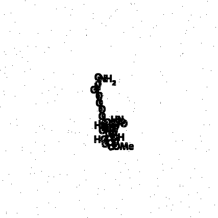 COc1cccc2c1C(=O)c1c(O)c3c(c(O)c1C2=O)CC(C(=O)NNC(=O)CCOCCOCCOCCOCCC(=O)N1CCC(C(N)=O)CC1)C[C@@H]3O[C@H]1CC[C@H](O[C@@H]2COCCN2)[C@H](C)O1